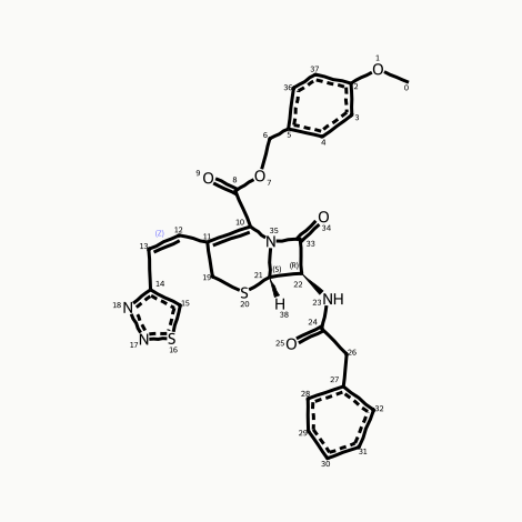 COc1ccc(COC(=O)C2=C(/C=C\c3csnn3)CS[C@H]3[C@H](NC(=O)Cc4ccccc4)C(=O)N23)cc1